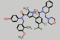 COc1cccc(CN(C(=O)c2cc(-c3cc(C(F)F)c(Cl)cc3C(=O)N3Cc4ccccc4C[C@H]3CN3CCOCC3)n(C)c2C)c2ccc(O)cc2)c1C